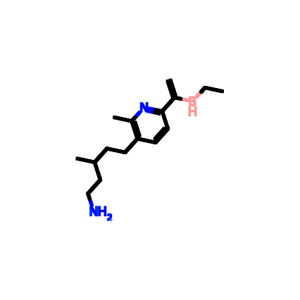 C=C(BCC)c1ccc(CCC(C)CCN)c(C)n1